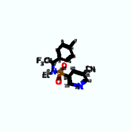 CCN(C(c1ccc(C)cc1)C(F)(F)F)S(=O)(=O)c1cncc(C#N)c1